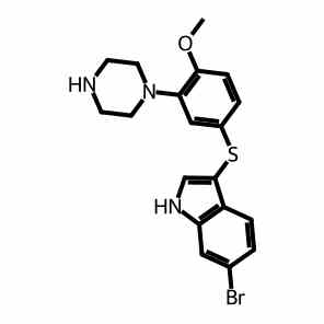 COc1ccc(Sc2c[nH]c3cc(Br)ccc23)cc1N1CCNCC1